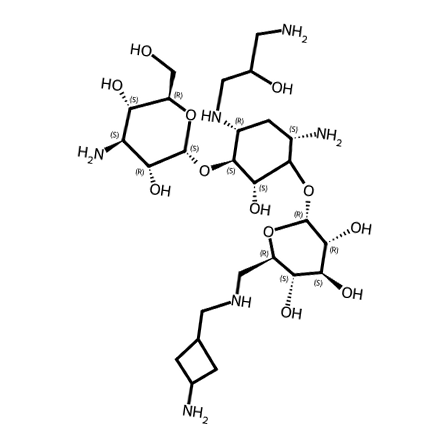 NCC(O)CN[C@@H]1C[C@H](N)C(O[C@H]2O[C@H](CNCC3CC(N)C3)[C@@H](O)[C@H](O)[C@H]2O)[C@H](O)[C@H]1O[C@H]1O[C@H](CO)[C@@H](O)[C@H](N)[C@H]1O